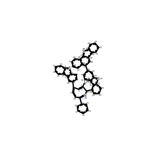 C/C1=C\C(c2ccc3sc4ccccc4c3c2)=C=C/C(c2ccccc2)=N\C1c1cccc2sc3cc(-c4cc5c6ccccc6sc5c5ccccc45)ccc3c12